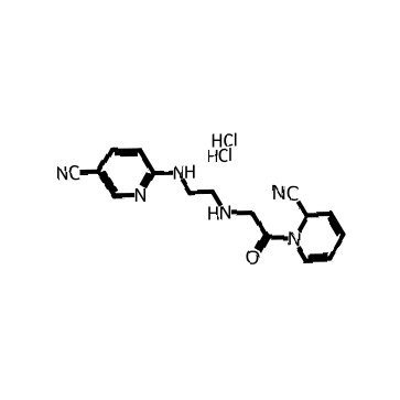 Cl.Cl.N#Cc1ccc(NCCNCC(=O)N2C=CC=CC2C#N)nc1